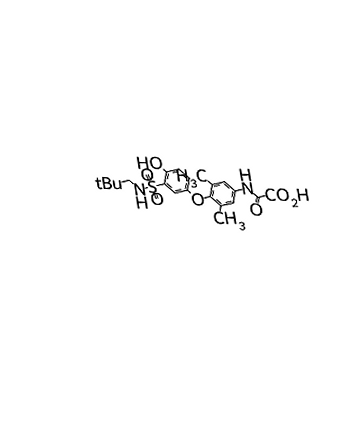 Cc1cc(NC(=O)C(=O)O)cc(C)c1Oc1ccc(O)c(S(=O)(=O)NCC(C)(C)C)c1